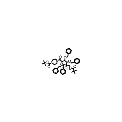 CC(C)(C)OC(=O)N1CCN(C(=O)C(OCc2ccccc2)C(OCc2ccccc2)C(OCc2ccccc2)C(O)(COCc2ccccc2)COC(=O)C(C)(C)C)CC1